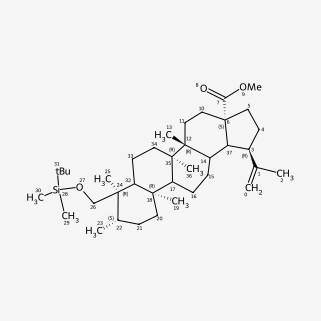 C=C(C)[C@@H]1CC[C@]2(C(=O)OC)CC[C@]3(C)C(CCC4[C@@]5(C)CC[C@H](C)[C@@](C)(CO[Si](C)(C)C(C)(C)C)C5CC[C@]43C)C12